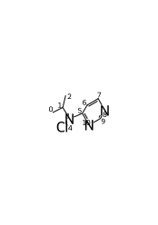 CC(C)N(Cl)c1ccncn1